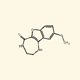 COc1ccc2oc3c(c2c1)NCCNC3=O